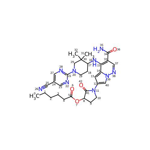 CCCCCC(=O)OC1CCN(c2cc3c(NC4CCN(c5ncc(C#N)cn5)CC4(C)C)c(C(N)=O)cnn3c2)C1=O